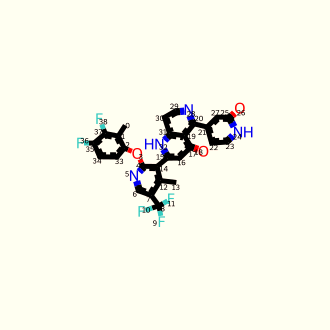 Cc1c(Oc2ncc(C(F)(F)F)c(C)c2-c2cc(=O)c3c(-c4cc[nH]c(=O)c4)nccc3[nH]2)ccc(F)c1F